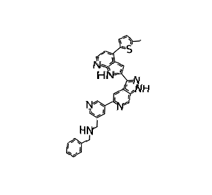 Cc1ccc(-c2ccnc3[nH]c(-c4n[nH]c5cnc(-c6cncc(CNCc7ccccc7)c6)cc45)cc23)s1